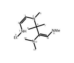 CCN/C=C\N(C)C(C)(C)/C(=C\NC)N(C)C